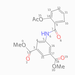 COC(=O)c1cc(NC(=O)c2ccccc2OC(C)=O)cc(C(=O)OC)c1